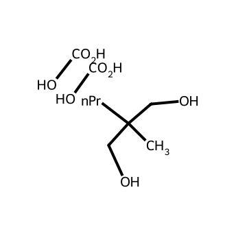 CCCC(C)(CO)CO.O=C(O)O.O=C(O)O